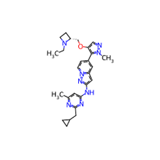 CCN1CC[C@@H]1COc1cnn(C)c1-c1ccn2nc(Nc3cc(C)nc(CC4CC4)n3)cc2c1